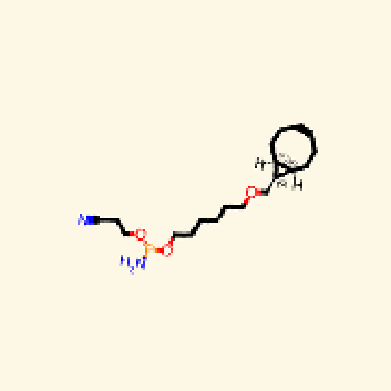 N#CCCOP(N)OCCCCCCOC[C@@H]1[C@@H]2CCC#CCC[C@@H]21